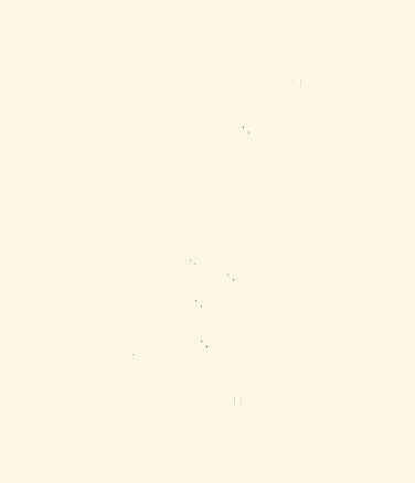 CC1(C)CCC(n2cc(C(=O)O)c(=O)c3cnc(Nc4ccc(C5CCN(CCO)CC5)cc4)nc32)CC1